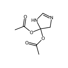 CC(=O)OC1(OC(C)=O)CN=CN1